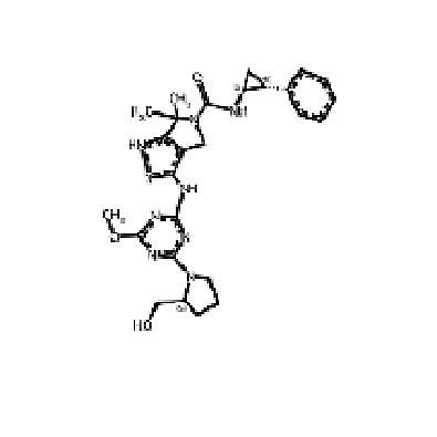 COc1nc(Nc2n[nH]c3c2CN(C(=O)N[C@H]2C[C@@H]2c2ccccc2)C3(C)C)nc(N2CCC[C@H]2CO)n1